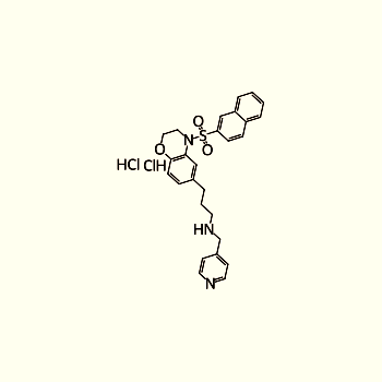 Cl.Cl.O=S(=O)(c1ccc2ccccc2c1)N1CCOc2ccc(CCCNCc3ccncc3)cc21